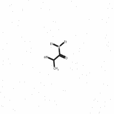 CCN(CC)C(=O)C(C)[NH]